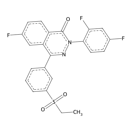 CCS(=O)(=O)c1cccc(-c2nn(-c3ccc(F)cc3F)c(=O)c3ccc(F)cc23)c1